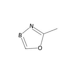 Cc1nbco1